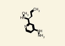 C=CC[C@H](NC)c1cc(NN)ccn1